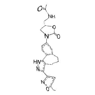 CC(=O)NC[C@H]1CN(c2ccc3c(c2)CCCc2c(-c4cc(C)on4)n[nH]c2-3)C(=O)O1